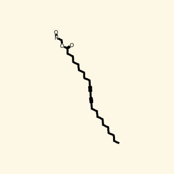 CCCCCCCCCCC#CC#CCCCCCCCCC(=O)OCN=O